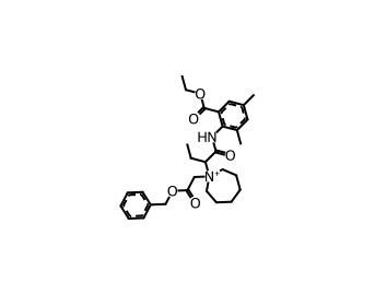 CCOC(=O)c1cc(C)cc(C)c1NC(=O)C(CC)[N+]1(CC(=O)OCc2ccccc2)CCCCCC1